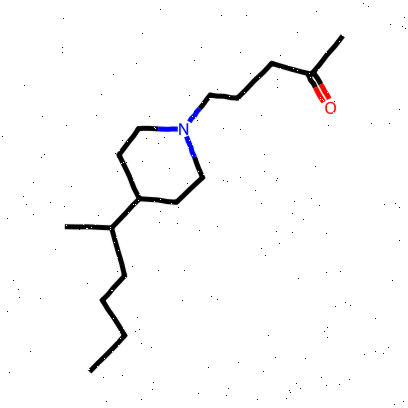 CCCCC(C)C1CCN(CCCC(C)=O)CC1